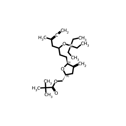 C=C=C(C)CC(CC[C@@H]1O[C@@H](COC(=O)C(C)(C)C)CC1=C)O[Si](CC)(CC)CC